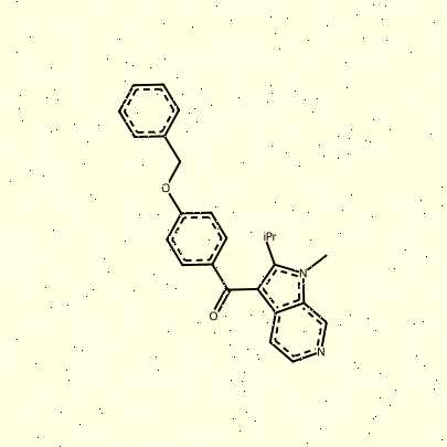 CC(C)c1c(C(=O)c2ccc(OCc3ccccc3)cc2)c2ccncc2n1C